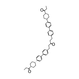 CCC(=O)C1CCC(c2ccc(-c3ccc(CCC(=O)CCc4ccc(-c5ccc([C@H]6CC[C@H](C(=O)CC)CC6)cc5)cc4)cc3)cc2)CC1